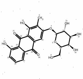 Cc1c(O[C@@H]2O[C@H](CO)[C@H](O)[C@H](O)[C@H]2O)cc2c(c1O)C(=O)c1c(O)cccc1C2=O